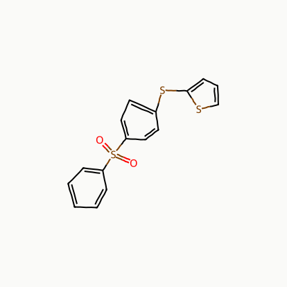 O=S(=O)(c1ccccc1)c1ccc(Sc2cccs2)cc1